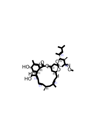 CO/N=C1\C[C@]2(C[C@@H]3C[C@@H](C/C=C(\C)C[C@@H](C)/C=C/C=C(\CO)[C@]4(O)[C@H](C)[C@H](O)C(C)=C[C@H]4C(=O)O3)O2)O[C@H](/C(C)=C/C(C)C)[C@H]1C